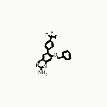 Nc1ncc2cc(-c3ccc(C(F)(F)F)cc3)c(OCc3ccccc3)cc2n1